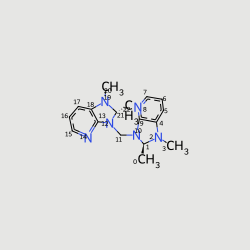 C[C@@H]1N(C)c2cccnc2N1CN1c2ncccc2N(C)[C@@H]1C